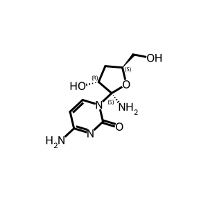 Nc1ccn([C@]2(N)O[C@H](CO)C[C@H]2O)c(=O)n1